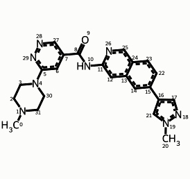 CN1CCN(c2cc(C(=O)Nc3cc4cc(-c5cnn(C)c5)ccc4cn3)cnn2)CC1